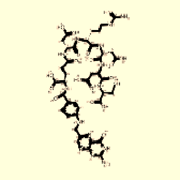 N=C(N)NCCC[C@@H](NC(=O)[C@@H](CC(=O)O)NC(=O)CC[C@@H](NC(=O)c1ccc(NCc2cnc3nc(N)[nH]c(=O)c3n2)cc1)C(=O)O)C(=O)N[C@H](CC(=O)O)C(=O)NC(CC(=O)O)C(=O)N[C@@H](CS)C(=O)O